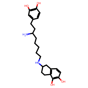 NC(CCCCCNC1CCc2c(ccc(O)c2O)C1)CCc1ccc(O)c(O)c1